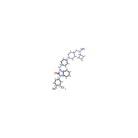 CC(C)N(CC1CCN(c2ccc(Cn3c(=O)n(-c4ccc(C#N)c(C(F)(F)F)c4)c4ccccc43)cc2)CC1)C1CCC1